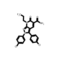 NC(=O)c1cc2c(-c3ccc(Cl)cc3)n(-c3ccc(Cl)cc3)nc2n(CCC(F)(F)F)c1=O